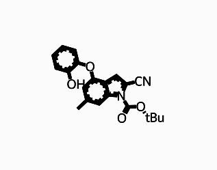 Cc1cc(Oc2ccccc2O)c2cc(C#N)n(C(=O)OC(C)(C)C)c2c1